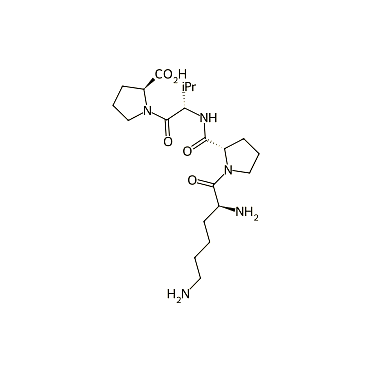 CC(C)[C@H](NC(=O)[C@@H]1CCCN1C(=O)[C@@H](N)CCCCN)C(=O)N1CCC[C@H]1C(=O)O